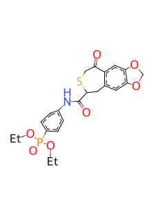 CCOP(=O)(OCC)c1ccc(NC(=O)C2Cc3cc4c(cc3C(=O)CS2)OCO4)cc1